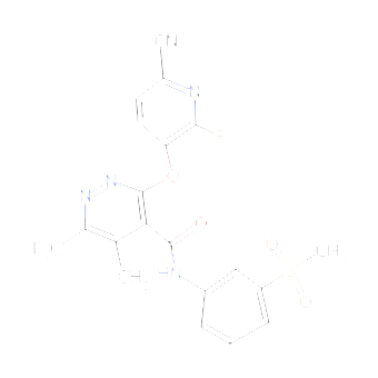 Cc1c(C(F)(F)F)nnc(Oc2ccc(C#N)nc2F)c1C(=O)Nc1cccc(S(C)(=O)=O)c1